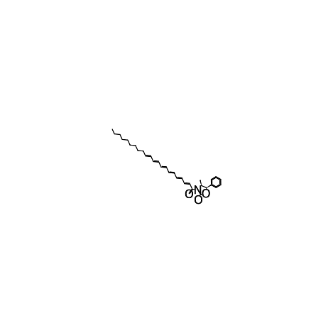 CCCCCCCCC/C=C/C=C/C=C/C=C/C=C/C=C/C(=O)N1C(=O)O[C@H](c2ccccc2)[C@@H]1C